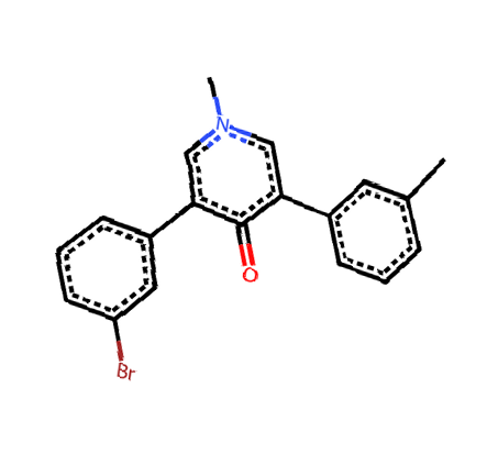 Cc1cccc(-c2cn(C)cc(-c3cccc(Br)c3)c2=O)c1